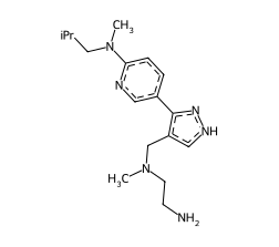 CC(C)CN(C)c1ccc(-c2n[nH]cc2CN(C)CCN)cn1